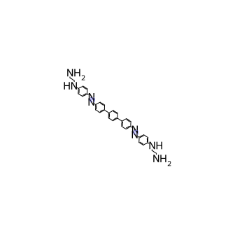 NCCNc1ccc(/N=N/c2ccc(-c3ccc(-c4ccc(/N=N/c5ccc(NCCN)cc5)cc4)cc3)cc2)cc1